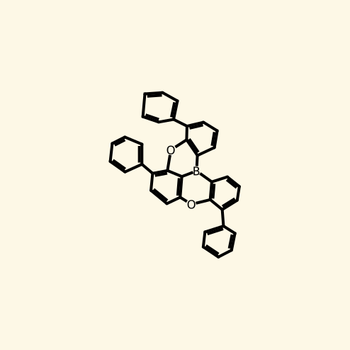 c1ccc(-c2cccc3c2Oc2ccc(-c4ccccc4)c4c2B3c2cccc(-c3ccccc3)c2O4)cc1